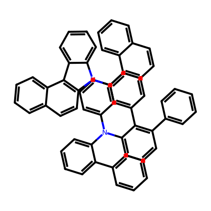 c1ccc(-c2ccccc2N(c2cccc(-c3cccc4ccccc34)c2)c2cccc(-c3ccccc3)c2-c2cccc(-n3c4ccccc4c4c5ccccc5ccc43)c2)cc1